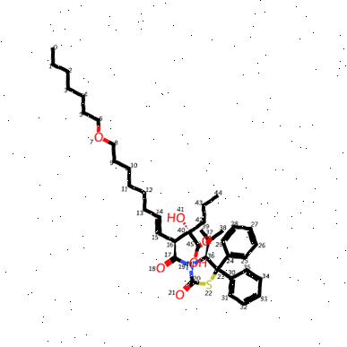 CCCCCCCOCCCCCC/C=C/[C@H](C(=O)N1C(=O)SC(c2ccccc2)(c2ccccc2)[C@@H]1C(C)C)[C@@](O)(CCC)C(=O)O